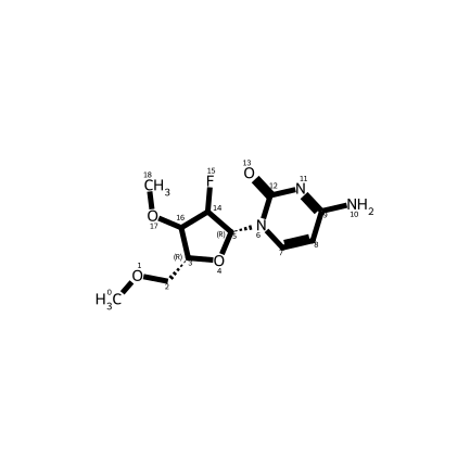 COC[C@H]1O[C@@H](n2ccc(N)nc2=O)C(F)C1OC